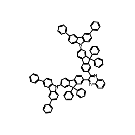 c1ccc(-c2ccc3c(c2)c2cc(-c4ccccc4)ccc2n3-c2ccc3c(c2)C(c2ccccc2)(c2ccccc2)c2cc(-c4nc5ccccc5nc4-c4ccc5c(c4)C(c4ccccc4)(c4ccccc4)c4cc(-n6c7ccc(-c8ccccc8)cc7c7cc(-c8ccccc8)ccc76)ccc4-5)ccc2-3)cc1